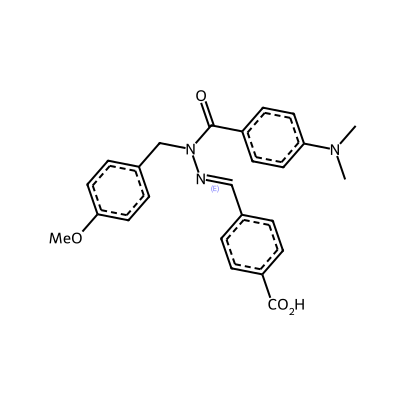 COc1ccc(CN(/N=C/c2ccc(C(=O)O)cc2)C(=O)c2ccc(N(C)C)cc2)cc1